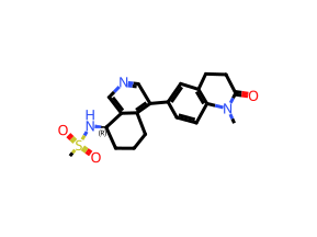 CN1C(=O)CCc2cc(-c3cncc4c3CCC[C@H]4NS(C)(=O)=O)ccc21